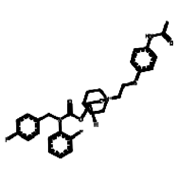 CC(=O)Nc1ccc(SCC[N+]23CCC(CC2)[C@@H](OC(=O)N(Cc2ccc(F)cc2)c2ccccc2F)C3)cc1